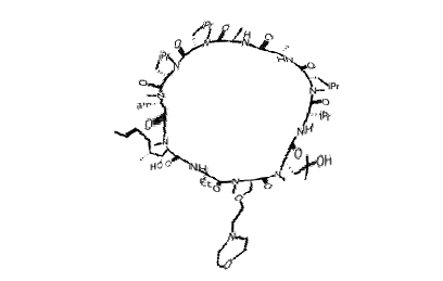 C/C=C/C[C@@H](C)[C@@H](O)[C@H]1C(=O)N[C@@H](CC)C(=O)N(C)[C@H](COCCN2CCOCC2)C(=O)N(C)[C@@H](CC(C)(C)O)C(=O)N[C@@H](C(C)C)C(=O)N(C)[C@@H](CC(C)C)C(=O)N[C@@H](C)C(=O)N[C@H](C)C(=O)N(C)[C@@H](CC(C)C)C(=O)N(C)[C@@H](CC(C)C)C(=O)N(C)[C@@H](C(C)C)C(=O)N1C